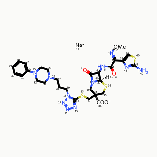 CON=C(C(=O)NC1C(=O)N2CC(CSc3nnnn3CCCN3CCN(c4ccccc4)CC3)(C(=O)[O-])CS[C@H]12)c1csc(N)n1.[Na+]